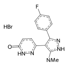 Br.CNc1[nH]nc(-c2ccc(F)cc2)c1-c1ccc(=O)[nH]n1